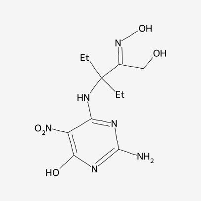 CCC(CC)(Nc1nc(N)nc(O)c1[N+](=O)[O-])/C(CO)=N/O